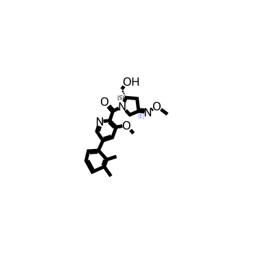 CO/N=C1\C[C@@H](CO)N(C(=O)c2ncc(-c3cccc(C)c3C)cc2OC)C1